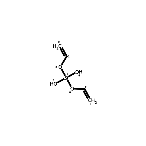 C=CO[Si](O)(O)OC=C